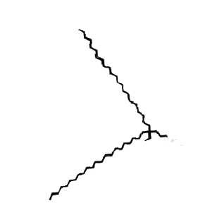 CCCCCCCCCCCCCCCCCCCCCCC(CC)(CCCN)CCCCCCCCCCCCCCCCCCCCCC